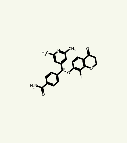 Cc1cc([C@H](Oc2ccc3c(c2I)OCCC3=O)c2ccc(C(N)=O)cc2)cc(C)n1